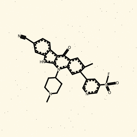 Cc1cc2c(=O)c3c4ccc(C#N)cc4[nH]c3n(C3CCN(C)CC3)c2cc1-c1cncc(S(=O)(=O)F)c1